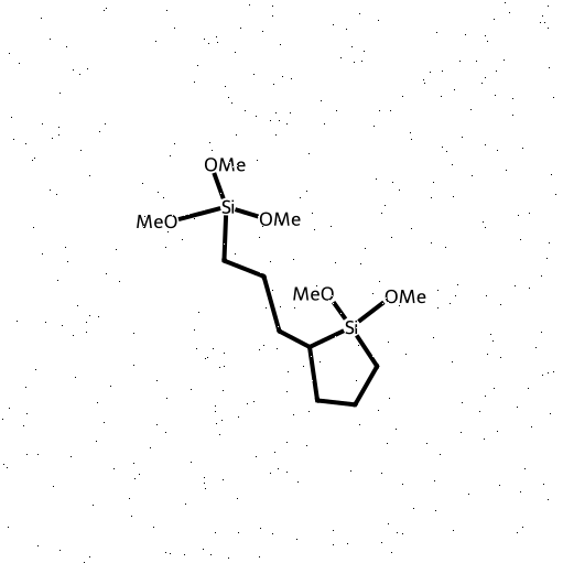 CO[Si](CCCC1CCC[Si]1(OC)OC)(OC)OC